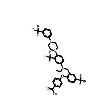 CCN(Cc1cc(C(F)(F)F)ccc1Oc1ccc(C(=O)O)cc1)c1ccc(N2CCN(c3cccc(C(F)(F)F)c3)CC2)c(C(F)(F)F)c1